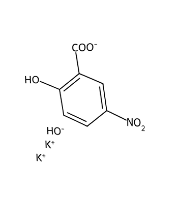 O=C([O-])c1cc([N+](=O)[O-])ccc1O.[K+].[K+].[OH-]